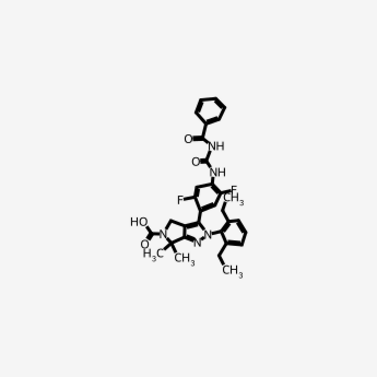 CCc1cccc(CC)c1-n1nc2c(c1-c1cc(F)c(NC(=O)NC(=O)c3ccccc3)cc1F)CN(C(=O)O)C2(C)C